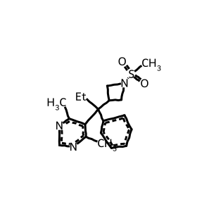 [CH2]CC(c1ccccc1)(c1c(C)ncnc1C)C1CN(S(C)(=O)=O)C1